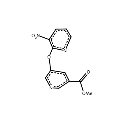 COC(=O)c1cncc(Oc2ncccc2[N+](=O)[O-])c1